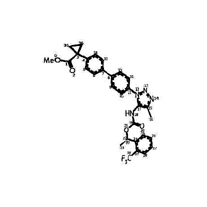 COC(=O)C1(c2ccc(-c3ccc(-n4nnc(C)c4NC(=O)O[C@H](C)c4ccccc4C(F)(F)F)cc3)cc2)CC1